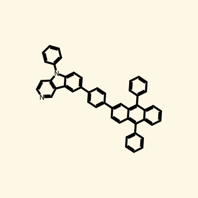 c1ccc(-c2c3ccccc3c(-c3ccccc3)c3cc(-c4ccc(-c5ccc6c(c5)c5cnccc5n6-c5ccccc5)cc4)ccc23)cc1